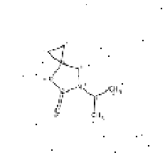 CC(C)N1CC2(CC2)OC1=O